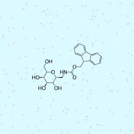 O=C(NC[C@@H]1OC(CO)[C@H](O)[C@H](O)C1O)OCC1c2ccccc2-c2ccccc21